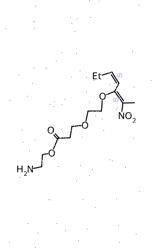 CC/C=C\C(OCCOCCC(=O)OCCN)=C(/C)[N+](=O)[O-]